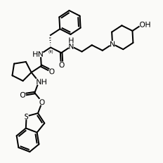 O=C(NC1(C(=O)N[C@H](Cc2ccccc2)C(=O)NCCCN2CCC(O)CC2)CCCC1)Oc1cc2ccccc2s1